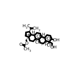 C=C(C)[C@@H]1CC[C@]2(COC(C)=O)CC[C@]3(C)[C@H](CC[C@@H]4[C@@]5(C)CCC(O)C(C)(CO)[C@@H]5CC[C@]43C)[C@@H]12